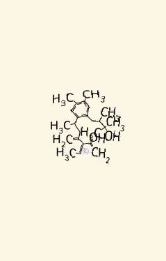 C=C(O)/C(=C/C)C(=C)CC(C)c1cc(C)c(C)cc1CC(C)C(C)(C)O